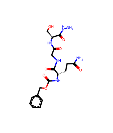 NNC(=O)[C@H](CO)NC(=O)CNC(=O)[C@H](CCC(N)=O)NC(=O)OCc1ccccc1